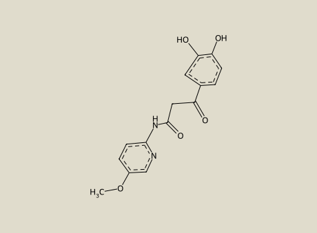 COc1ccc(NC(=O)CC(=O)c2ccc(O)c(O)c2)nc1